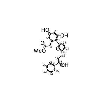 COC(=O)Cc1cc(O)cc(O)c1-c1ccc(CCC(O)c2ccccc2)o1